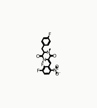 CN1C(=O)C(Cc2ccc(F)cc2)N(C)C(=O)C1=Cc1c([N+](=O)[O-])ccc(F)c1F